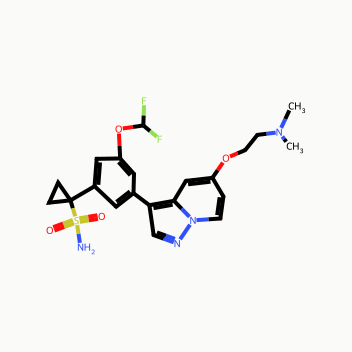 CN(C)CCOc1ccn2ncc(-c3cc(OC(F)F)cc(C4(S(N)(=O)=O)CC4)c3)c2c1